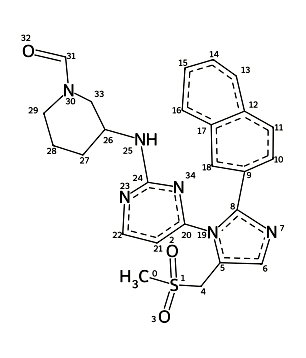 CS(=O)(=O)Cc1cnc(-c2ccc3ccccc3c2)n1-c1ccnc(NC2CCCN(C=O)C2)n1